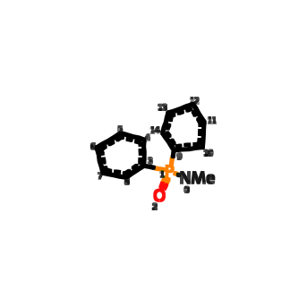 CNP(=O)(c1ccccc1)c1ccccc1